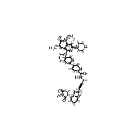 Cc1cc2c(N3CCCc4nc(-c5ccc(C(=O)NCC#Cc6cc7c([C@H]8CCC(=O)NC8=O)cccc7o6)nc5)ncc43)nc(N3CCOCC3)cc2n(C)c1=O